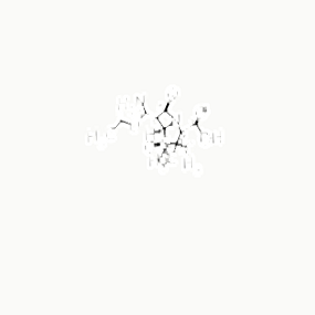 CCOC(N)[C@@H]1C(=O)N2[C@@H](C(=O)O)C(C)(C)S(=O)(=O)[C@H]12